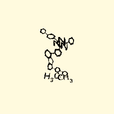 CC1(C)c2ccccc2-c2ccc(-c3cccc4c3Cc3c(-c5cccc(-c6nc(-c7ccccc7)nc(-c7ccc(-c8ccccc8)cc7)n6)c5)cccc3-4)cc21